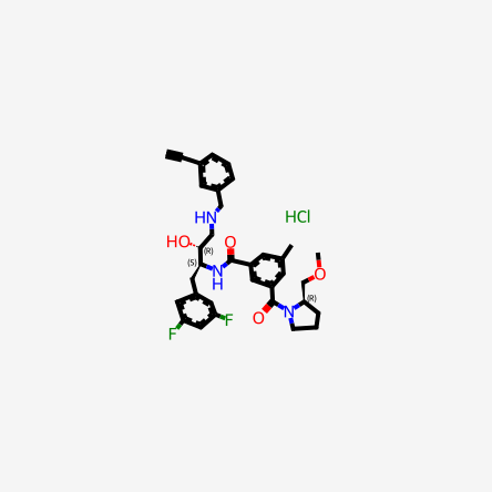 C#Cc1cccc(CNC[C@@H](O)[C@H](Cc2cc(F)cc(F)c2)NC(=O)c2cc(C)cc(C(=O)N3CCC[C@@H]3COC)c2)c1.Cl